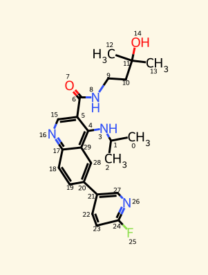 CC(C)Nc1c(C(=O)NCCC(C)(C)O)cnc2ccc(-c3ccc(F)nc3)cc12